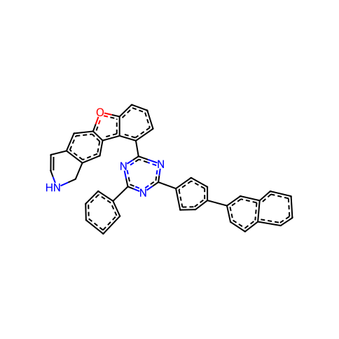 C1=Cc2cc3oc4cccc(-c5nc(-c6ccccc6)nc(-c6ccc(-c7ccc8ccccc8c7)cc6)n5)c4c3cc2CN1